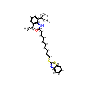 CC(C)c1cccc(C(C)C)c1NC(=O)CCCCCCCCCSc1nc2ccccc2s1